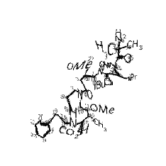 CC[C@H](C)[C@@H]([C@@H](CC(=O)N1CCC[C@H]1[C@H](OC)[C@@H](C)C(=S)N[C@@H](Cc1ccccc1)C(=O)O)OC)N(C)C(=O)C(NC(=O)C(C)(C)N)C(C)C